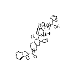 O=C(N[C@@H](CNC(O)c1cccs1)C(=O)O)c1c(Cl)cc2c(c1Cl)CCN(C(=O)c1cc3ccccc3o1)C2